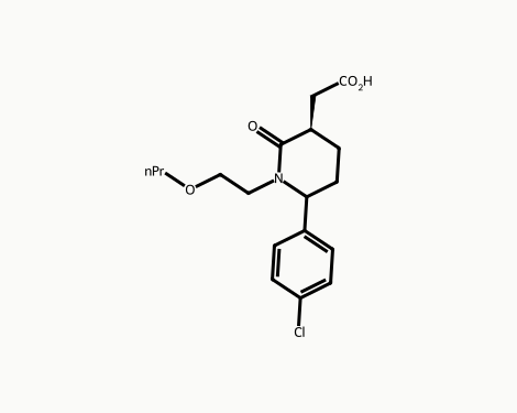 CCCOCCN1C(=O)[C@@H](CC(=O)O)CCC1c1ccc(Cl)cc1